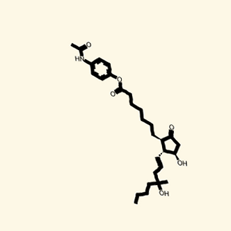 CCCCC(C)(O)C/C=C/[C@H]1[C@H](O)CC(=O)[C@@H]1CCCCCCC(=O)Oc1ccc(NC(C)=O)cc1